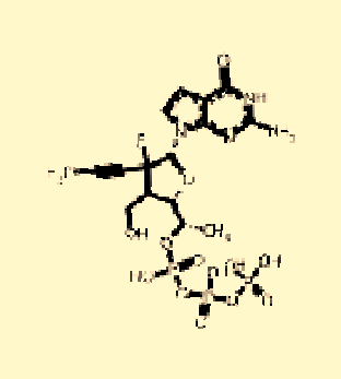 CC#CC1(F)C(CO)[C@@H]([C@H](C)OP(=O)(O)OP(=O)(O)OP(=O)(O)O)O[C@H]1n1ccc2c(=O)[nH]c(N)nc21